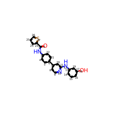 O=C(Nc1ccc(-c2ccnc(Nc3cccc(O)c3)c2)cc1)c1cccs1